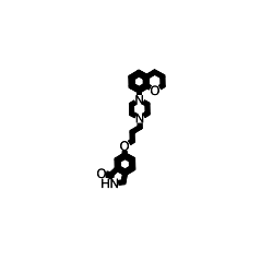 O=C1NCc2ccc(OCCCN3CCN(c4cccc5c4OCCC5)CC3)cc21